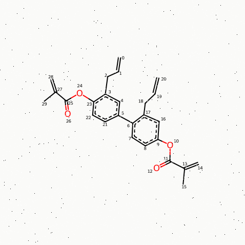 C=CCc1cc(-c2ccc(OC(=O)C(=C)C)cc2CC=C)ccc1OC(=O)C(=C)C